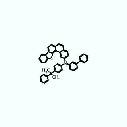 CC(C)(c1ccccc1)c1ccc(N(c2cccc(-c3ccccc3)c2)c2ccc3ccc4ccc5c6ccccc6sc5c4c3c2)cc1